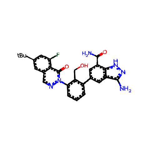 CC(C)(C)c1cc(F)c2c(=O)n(-c3cccc(-c4cc(C(N)=O)c5[nH]nc(N)c5c4)c3CO)ncc2c1